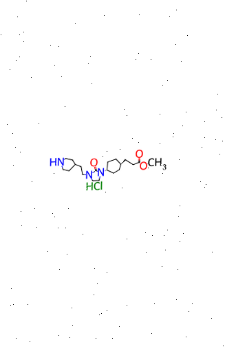 COC(=O)CC[C@H]1CC[C@H](N2CCN(CCC3CCNCC3)C2=O)CC1.Cl